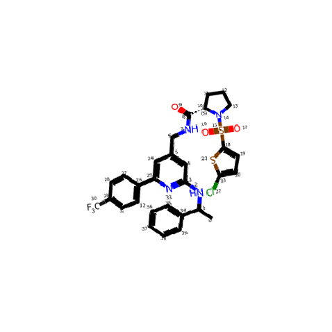 CC(Nc1cc(CNC(=O)[C@@H]2CCCN2S(=O)(=O)c2ccc(Cl)s2)cc(-c2ccc(C(F)(F)F)cc2)n1)c1ccccc1